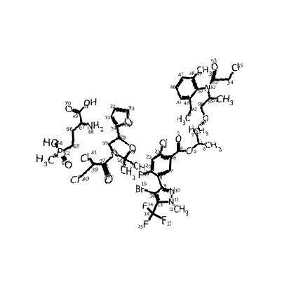 CC(C)OC(=O)c1cc(-c2nn(C)c(C(F)(F)F)c2Br)c(F)cc1Cl.CC1(C)OC(c2ccco2)CN1C(=O)C(Cl)Cl.CCc1cccc(C)c1N(C(=O)CCl)C(C)COC.CP(=O)(O)CCC(N)C(=O)O